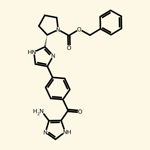 Nc1nc[nH]c1C(=O)c1ccc(-c2c[nH]c([C@@H]3CCCN3C(=O)OCc3ccccc3)n2)cc1